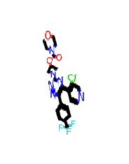 O=C(OC1CN(c2nnc(-c3ccc(C(F)(F)F)cc3)c(-c3ccncc3Cl)n2)C1)N1CCOCC1